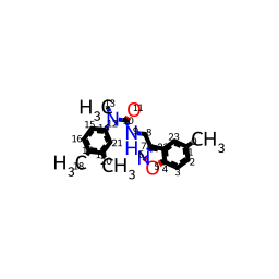 Cc1ccc2onc(CNC(=O)N(C)c3ccc(C)c(C)c3)c2c1